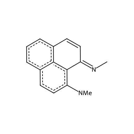 CN=C1C=Cc2cccc3ccc(NC)c1c23